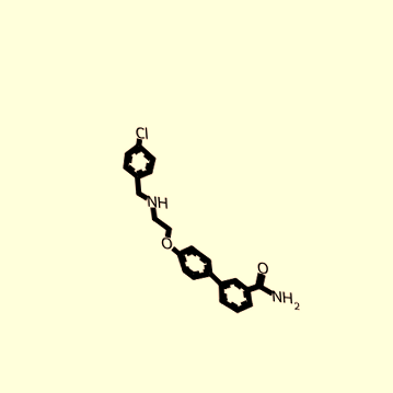 NC(=O)c1cccc(-c2ccc(OCCNCc3ccc(Cl)cc3)cc2)c1